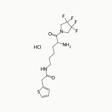 Cl.NC(CCCCNC(=O)Cc1cccs1)C(=O)N1CC(F)(F)C(F)(F)C1